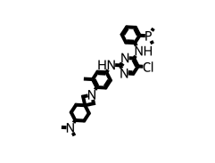 Cc1cc(Nc2ncc(Cl)c(Nc3ccccc3P(C)C)n2)ccc1N1CC2(CCC(N(C)C)CC2)C1